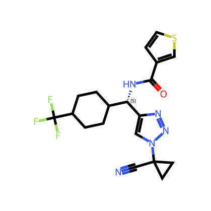 N#CC1(n2cc([C@@H](NC(=O)c3ccsc3)C3CCC(C(F)(F)F)CC3)nn2)CC1